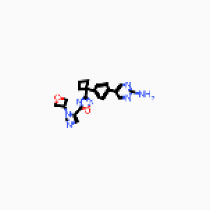 Nc1ncc(-c2ccc(C3(c4noc(-c5cncn5C5COC5)n4)CCC3)cc2)cn1